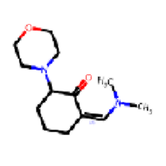 CN(C)/C=C1/CCCC(N2CCOCC2)C1=O